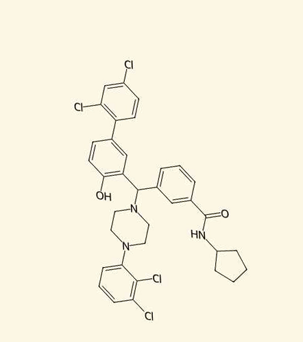 O=C(NC1CCCC1)c1cccc(C(c2cc(-c3ccc(Cl)cc3Cl)ccc2O)N2CCN(c3cccc(Cl)c3Cl)CC2)c1